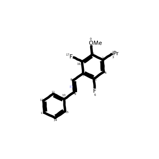 COc1c(C(C)C)cc(F)c(/C=C/c2ccccc2)c1F